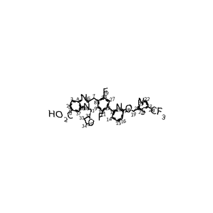 O=C(O)c1ccc2nc(Cc3cc(F)c(-c4cccc(OCc5ncc(C(F)(F)F)s5)n4)cc3F)n(C[C@@H]3CCO3)c2c1